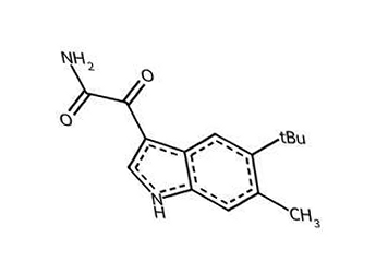 Cc1cc2[nH]cc(C(=O)C(N)=O)c2cc1C(C)(C)C